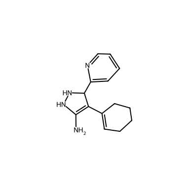 NC1=C(C2=CCCCC2)C(c2ccccn2)NN1